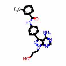 Nc1ncnc2c1c(-c1ccc(NC(=O)c3cccc(C(F)(F)F)c3)cc1)nn2CCCO